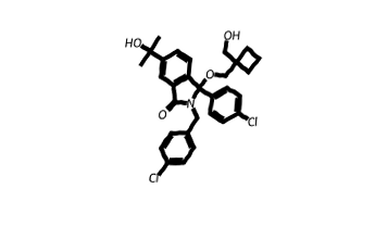 CC(C)(O)c1ccc2c(c1)C(=O)N(Cc1ccc(Cl)cc1)C2(OCC1(CO)CCC1)c1ccc(Cl)cc1